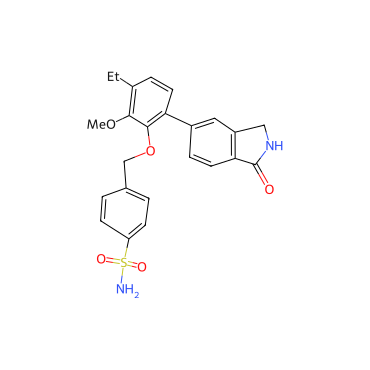 CCc1ccc(-c2ccc3c(c2)CNC3=O)c(OCc2ccc(S(N)(=O)=O)cc2)c1OC